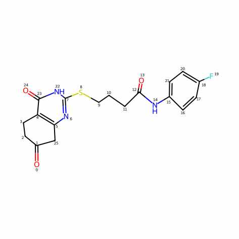 O=C1CCc2c(nc(SCCCC(=O)Nc3ccc(F)cc3)[nH]c2=O)C1